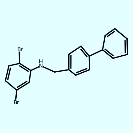 Brc1ccc(Br)c(NCc2ccc(-c3ccccc3)cc2)c1